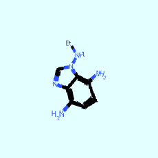 CCNn1cnc2c(N)ccc(N)c21